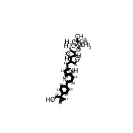 CC(C)(C)[Si](C)(C)O[C@@H]1CO[C@@H]2C(Cc3cc4nc(-c5ccc(C6(CO)CC6)cc5)ccc4[nH]3)CO[C@@H]21